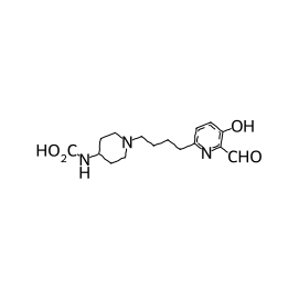 O=Cc1nc(CCCCN2CCC(NC(=O)O)CC2)ccc1O